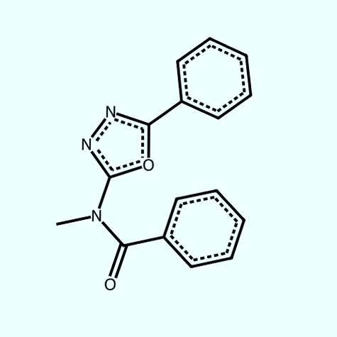 CN(C(=O)c1ccccc1)c1nnc(-c2ccccc2)o1